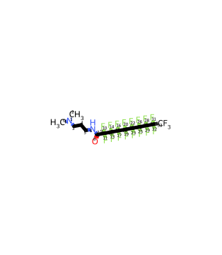 CN(C)CCCNC(=O)C(F)(F)C(F)(F)C(F)(F)C(F)(F)C(F)(F)C(F)(F)C(F)(F)C(F)(F)C(F)(F)F